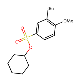 COc1ccc(S(=O)(=O)OC2CCCCC2)cc1C(C)(C)C